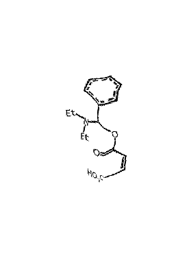 CCN(CC)C(OC(=O)/C=C\C(=O)O)c1ccccc1